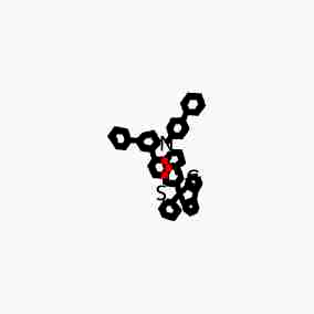 c1ccc(-c2ccc(N(c3ccc4cc5c(cc4c3)Sc3ccccc3C53c4ccccc4-c4ccccc43)c3ccc(-c4ccccc4)cc3-c3ccccc3)cc2)cc1